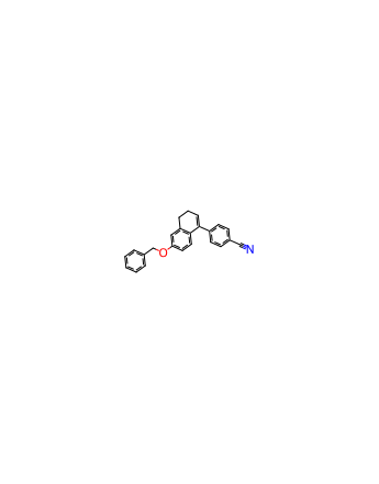 N#Cc1ccc(C2=CCCc3cc(OCc4ccccc4)ccc32)cc1